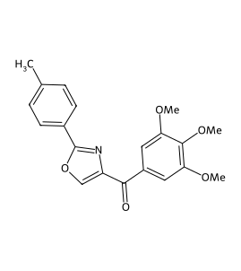 COc1cc(C(=O)c2coc(-c3ccc(C)cc3)n2)cc(OC)c1OC